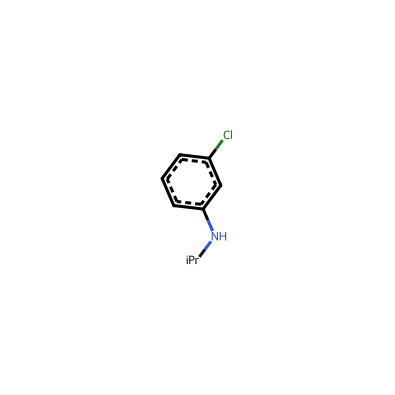 CC(C)Nc1cccc(Cl)c1